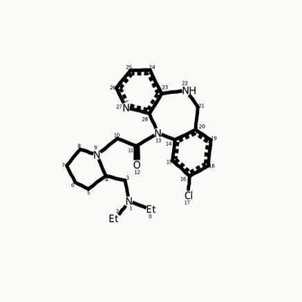 CCN(CC)CC1CCCCN1CC(=O)N1c2cc(Cl)ccc2CNc2cccnc21